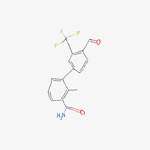 Cc1c(C(N)=O)cccc1-c1ccc(C=O)c(C(F)(F)F)c1